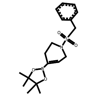 CC1(C)OB(C2=CCN(S(=O)(=O)Cc3ccccc3)CC2)OC1(C)C